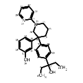 CCC(O)(CC)c1ccc(C2(c3cccc(O)c3)CCCN(c3ccccn3)C2)cc1